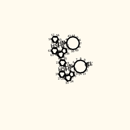 C1=C[CH]([Hf+]([NH]C2CCCCCCCCCCC2)[SiH](c2ccccc2)c2ccccc2)c2ccccc21.C1=C[CH]([Hf+]([NH]C2CCCCCCCCCCC2)[SiH](c2ccccc2)c2ccccc2)c2ccccc21.[Cl-].[Cl-]